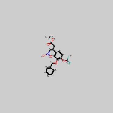 COC(=O)CC(C[N+](=O)[O-])c1ccc(OC(F)F)c(OCc2ccccc2)c1